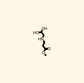 COC(=O)CCNCC(O)O